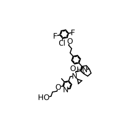 Cc1c(CN(C(=O)C2=C(c3ccc(CCCOc4c(F)ccc(F)c4Cl)cc3)CC3CCC2N3)C2CC2)ccnc1OCCCO